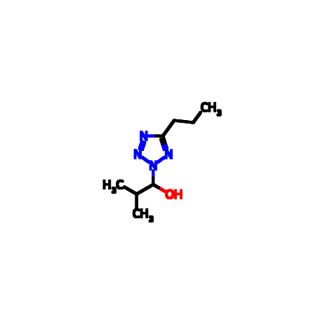 CCCc1nnn(C(O)C(C)C)n1